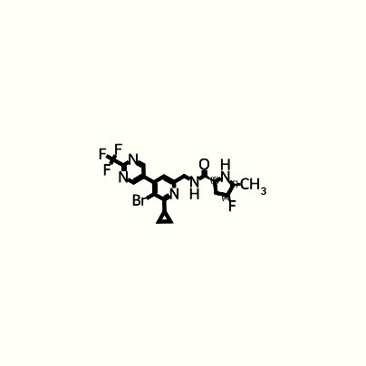 C[C@@H]1N[C@H](C(=O)NCc2cc(-c3cnc(C(F)(F)F)nc3)c(Br)c(C3CC3)n2)C[C@H]1F